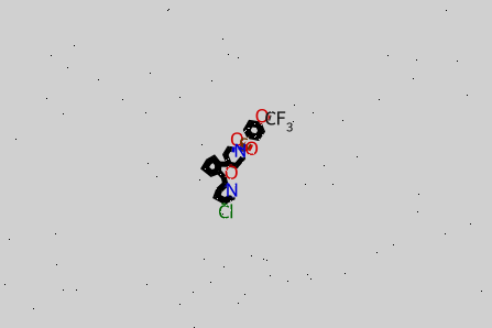 O=S(=O)(c1ccc(OC(F)(F)F)cc1)N1CCC2(CC1)OC(c1ccc(Cl)cn1)c1ccccc12